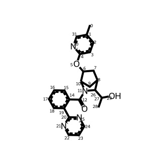 Cc1ccc(OC2CC3CC2N(C(=O)c2ccccc2-c2ncccn2)C3C(C)O)nc1